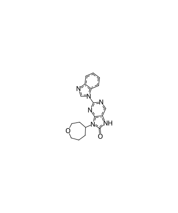 O=c1[nH]c2cnc(-n3cnc4ccccc43)nc2n1C1CCCOCC1